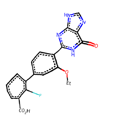 CCOc1cc(-c2cccc(C(=O)O)c2F)ccc1-c1nc2[nH]cnc2c(=O)[nH]1